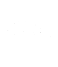 COC(=O)c1ccc(-c2ccc3c(c2)OCO3)s1